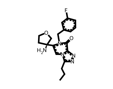 CCCc1nnc2c(=O)n(Cc3cccc(F)c3)c([C@]3(N)CCOC3)cn12